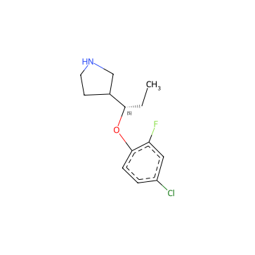 CC[C@H](Oc1ccc(Cl)cc1F)C1CCNC1